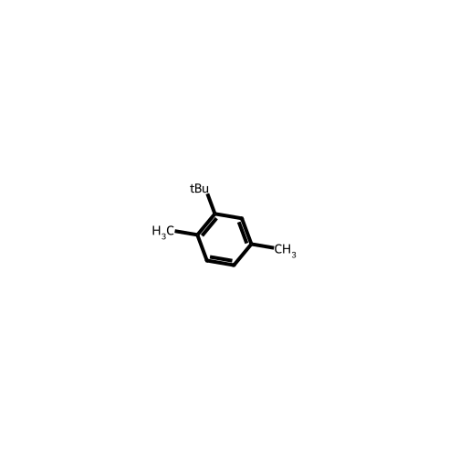 Cc1ccc(C)c(C(C)(C)C)c1